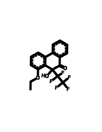 CCOc1cccc2c1C(O)(C(F)(F)C(F)(F)F)C(=O)c1ccccc1-2